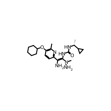 Cc1nc(/C(N)=C(\NC(=O)N[C@H](C)C2CC2)N(C)N)ccc1OC1CCCCC1